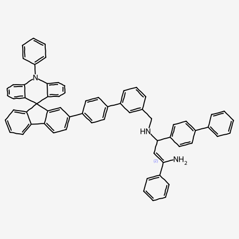 N/C(=C\C(NCc1cccc(-c2ccc(-c3ccc4c(c3)C3(c5ccccc5-4)c4ccccc4N(c4ccccc4)c4ccccc43)cc2)c1)c1ccc(-c2ccccc2)cc1)c1ccccc1